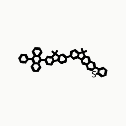 CC1(C)c2cc(-c3ccc4c(c3)-c3cc5cc6sc7ccccc7c6cc5cc3C4(C)C)ccc2-c2ccc(-c3c4ccccc4c(-c4ccccc4)c4ccccc34)cc21